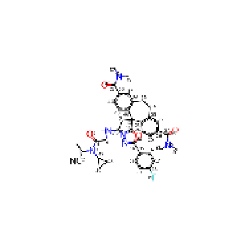 CC(C#N)N(C(=O)CNCCC1(c2nnc(-c3ccc(F)cc3)o2)c2ccc(C(=O)N(C)C)cc2CCc2cc(C(=O)N(C)C)ccc21)C1CC1